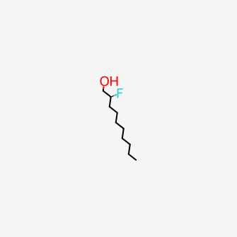 CCCCCCCC[C@H](F)CO